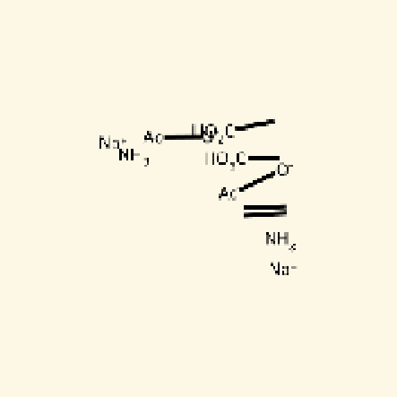 C=C.CC(=O)O.CC(=O)O.CC(=O)[O-].CC(=O)[O-].N.N.[Na+].[Na+]